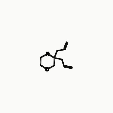 C=CCC1(CC=C)COCC[N]1